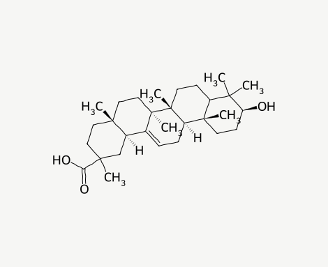 CC1(C(=O)O)CC[C@]2(C)CC[C@]3(C)C(=CC[C@@H]4[C@@]5(C)CC[C@H](O)C(C)(C)C5CC[C@]43C)[C@H]2C1